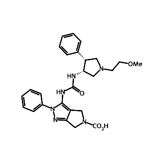 COCCN1C[C@H](NC(=O)Nc2c3c(nn2-c2ccccc2)CN(C(=O)O)C3)[C@H](c2ccccc2)C1